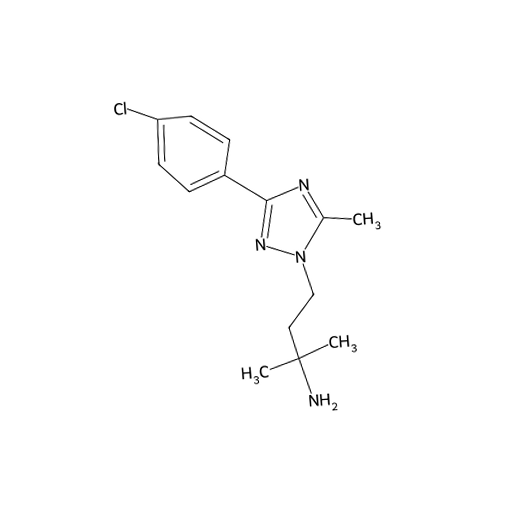 Cc1nc(-c2ccc(Cl)cc2)nn1CCC(C)(C)N